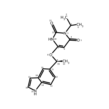 CC(C)n1c(=O)cc(O[C@@H](C)c2ccc3[nH]ccc3c2)[nH]c1=O